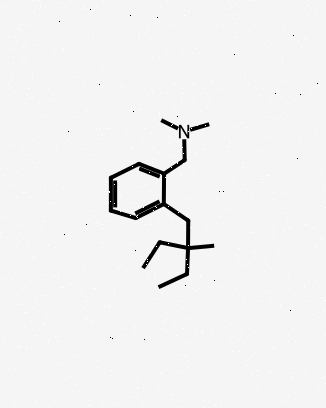 CCC(C)(CC)Cc1ccccc1CN(C)C